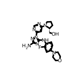 Nc1nc(Nc2ccc(N3CCOCC3)cc2F)n(-c2cc(N3CCC[C@@H]3CO)ncn2)n1